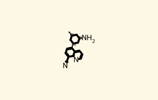 C[C@H]1C[C@@H](N)C[C@@H](c2ccc(C#N)c3ncccc23)C1